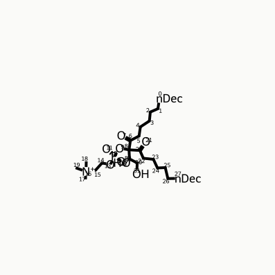 CCCCCCCCCCCCCCCC(=O)C(OP(=O)([O-])OCC[N+](C)(C)C)(C(=O)CCCCCCCCCCCCCCC)[C@@H](O)CO